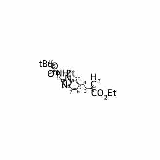 CCOC(=O)[C@@H](C)CCc1ccc2nc(CNC(=O)OC(C)(C)C)n(CC)c2c1